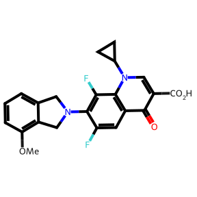 COc1cccc2c1CN(c1c(F)cc3c(=O)c(C(=O)O)cn(C4CC4)c3c1F)C2